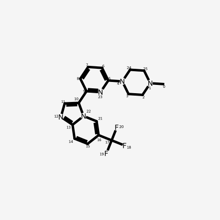 CN1CCN(c2cccc(-c3cnc4ccc(C(F)(F)F)cn34)n2)CC1